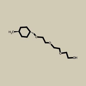 C[C@H]1CC[C@H](COCCOCCOCCO)CC1